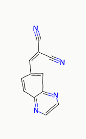 N#CC(C#N)=Cc1ccc2nccnc2c1